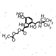 CC(=O)OCOC(=O)c1cc2c(C(O)CNC(C)(C)C)ccc(O)c2[nH]1.Cl